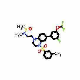 CN(CCN1CCN(S(=O)(=O)c2cccc(C(F)(F)F)c2)c2cc(-c3cc(F)cc(OC(F)F)c3)ccc21)[S+](C)[O-]